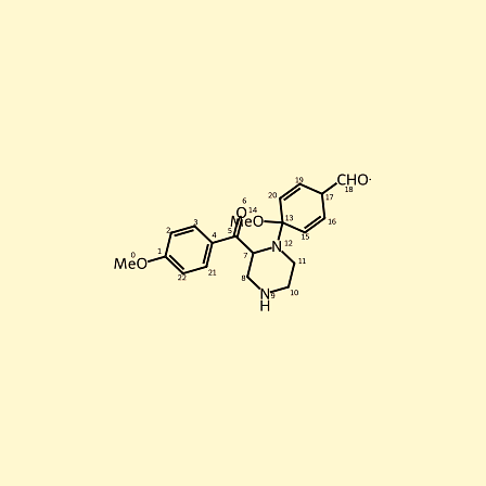 COc1ccc(C(=O)C2CNCCN2C2(OC)C=CC([C]=O)C=C2)cc1